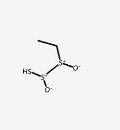 CC[S+]([O-])[S+]([O-])S